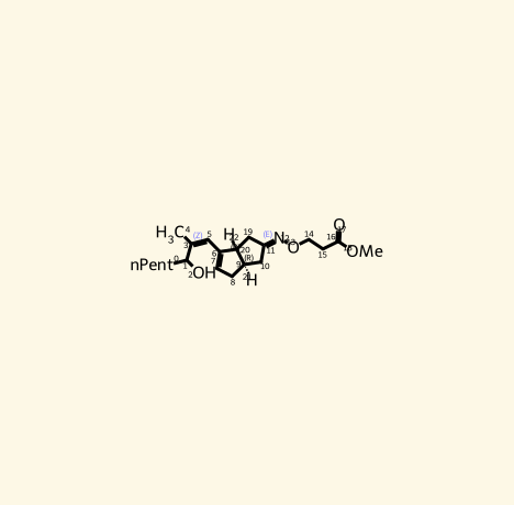 CCCCCC(O)/C(C)=C\C1=CC[C@@H]2C/C(=N\OCCC(=O)OC)C[C@@H]12